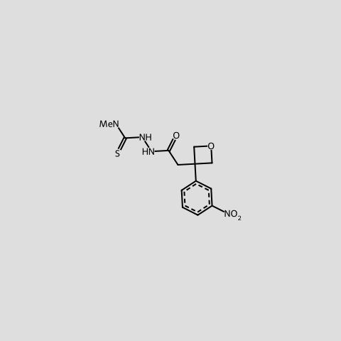 CNC(=S)NNC(=O)CC1(c2cccc([N+](=O)[O-])c2)COC1